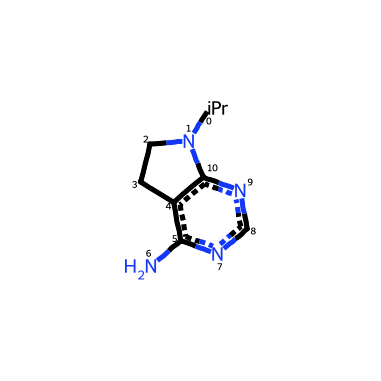 CC(C)N1CCc2c(N)ncnc21